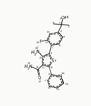 CC(C)(O)c1ccc(-c2sc(-c3ccccn3)c(C(N)=O)c2N)c(F)c1